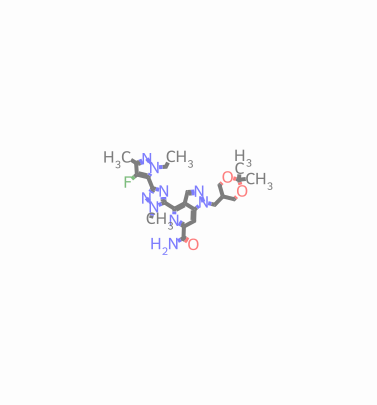 CCn1nc(C)c(F)c1-c1nc(-c2nc(C(N)=O)cc3c2cnn3CC2COC(C)(C)OC2)n(C)n1